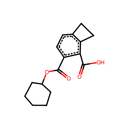 O=C(OC1CCCCC1)c1ccc2c(c1C(=O)O)CC2